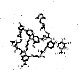 CCc1nc(C)oc1C(=O)Nc1nc2cc(C(N)=O)cc(OCCCN(C)C(=O)OCc3ccc(O[C@@H]4O[C@H](C(=O)O)[C@@H](O)[C@H](O)[C@H]4O)c(NC(=O)CCNC(=O)CCN4C(=O)C=CC4=O)c3)c2n1C/C=C/Cn1c2nc(-c3sc(C)nc3C3CC3)ncc2c2cc(C(N)=O)cc(OC)c21